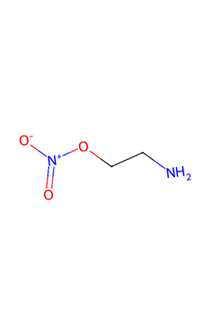 NCCO[N+](=O)[O-]